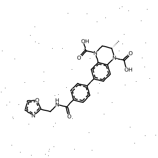 C[C@H]1CN(C(=O)O)c2cc(-c3ccc(C(=O)NCc4ncco4)cc3)ccc2N1C(=O)O